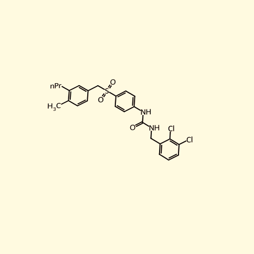 CCCc1cc(CS(=O)(=O)c2ccc(NC(=O)NCc3cccc(Cl)c3Cl)cc2)ccc1C